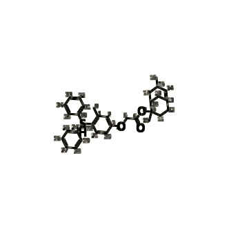 Cc1cc(OCC(=O)OC2(C)CCC3=CC(C)CC2C3)ccc1[SH](c1ccccc1)c1ccccc1